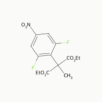 CCOC(=O)C(C)(C(=O)OCC)c1c(F)cc([N+](=O)[O-])cc1F